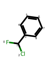 FC(Cl)c1cc[c]cc1